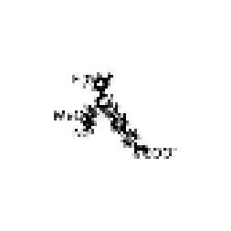 COCC1(CN(C)c2cc(-c3cc(F)cc(C(F)(F)F)c3)nc3nc(-c4cnc(N5CCN(C(C)CC(=O)[O-])CC5)cn4)[nH]c23)CCC1.[Na+]